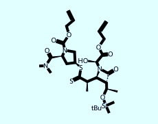 C=CCOC(=O)[C@H](O)N1C(=O)[C@H]([C@@H](C)O[Si](C)(C)C(C)(C)C)[C@H]1[C@@H](C)C(=S)S[C@H]1C[C@@H](C(=O)N(C)C)N(C(=O)OCC=C)C1